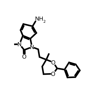 Cn1c(=O)n(CCC2(C)CCOC(c3ccccc3)O2)c2cc(N)ccc21